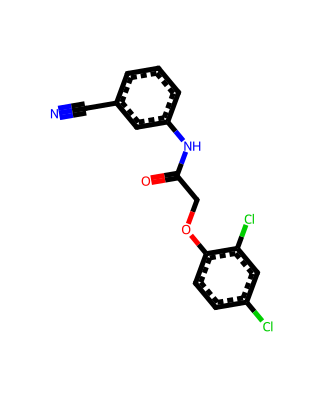 N#Cc1cccc(NC(=O)COc2ccc(Cl)cc2Cl)c1